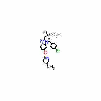 CCC(CC)(Cc1nc2ccc(OCc3ccc(C)cn3)cc2n1Cc1ccc(Br)cc1)C(=O)O